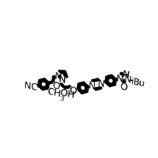 CC[C@H](C)n1ncn(-c2ccc(N3CCN(c4ccc(OC[C@H](O)COC(Cn5cccn5)c5ccc(C#N)cc5C)cc4)CC3)cc2)c1=O